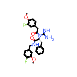 COc1ccc(CC(=O)N(C(=N)N)[C@H](Cc2ccccc2)C(=O)NCc2ccc(F)c(OC)c2)cc1F